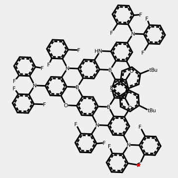 CC(C)(C)c1ccc2sc3c(c2c1)Oc1cc(N(c2c(F)cccc2F)c2c(F)cccc2F)cc2c1B3c1cc3c(cc1N2)N(c1c(F)cccc1F)c1cc(N(c2c(F)cccc2F)c2c(F)cccc2F)cc2c1B3c1cc3c(cc1O2)N(c1c(F)cccc1F)c1cc(N(c2c(F)cccc2F)c2c(F)cccc2F)cc2c1B3c1sc3ccc(C(C)(C)C)cc3c1O2